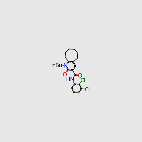 CCCCn1c2c(cc(C(=O)Nc3cccc(Cl)c3Cl)c1=O)CCCCCC2